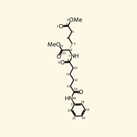 COC(=O)CCC[C@H](NC(=O)CCCCC(=O)Nc1ccccc1)C(=O)OC